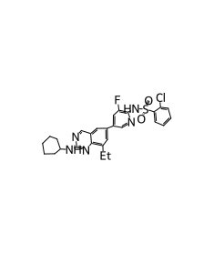 CCc1cc(-c2cnc(NS(=O)(=O)c3ccccc3Cl)c(F)c2)cc2cnc(NC3CCCCC3)nc12